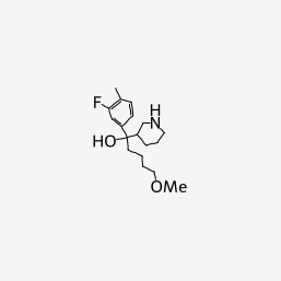 COCCCCC(O)(c1ccc(C)c(F)c1)C1CCCNC1